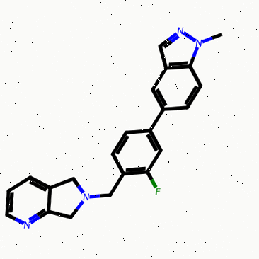 Cn1ncc2cc(-c3ccc(CN4Cc5cccnc5C4)c(F)c3)ccc21